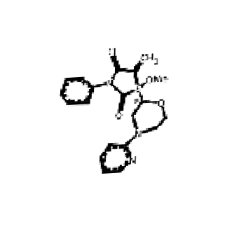 C=C1C(=O)N(c2ccccc2)C(=O)S1(OC)[C@@H]1CN(c2ccccn2)CCO1